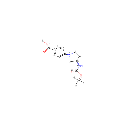 COC(=O)c1ccc(N2CC[C@@H](NC(=O)OC(C)(C)C)C2)cc1